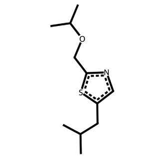 CC(C)Cc1cnc(COC(C)C)s1